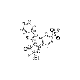 CCC1(C)OC(c2ccc(S(C)(=O)=O)cc2)=C(c2cc3ccccc3s2)C1=O